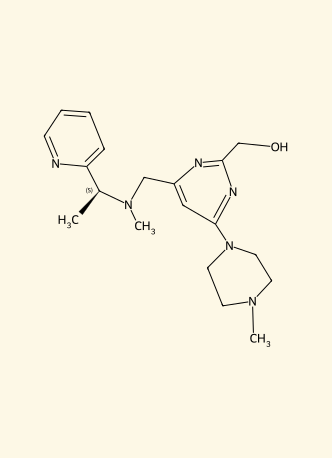 C[C@@H](c1ccccn1)N(C)Cc1cc(N2CCN(C)CC2)nc(CO)n1